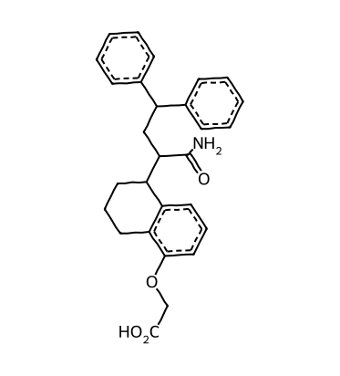 NC(=O)C(CC(c1ccccc1)c1ccccc1)C1CCCc2c(OCC(=O)O)cccc21